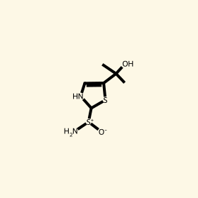 CC(C)(O)C1=CNC([S+](N)[O-])S1